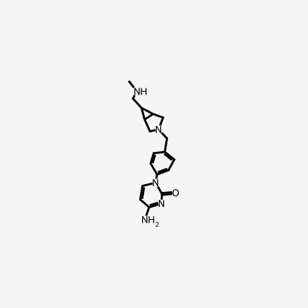 CNCC1C2CN(Cc3ccc(-n4ccc(N)nc4=O)cc3)CC12